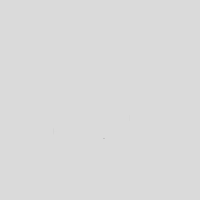 CCCCC(O)C(C)(C)CC